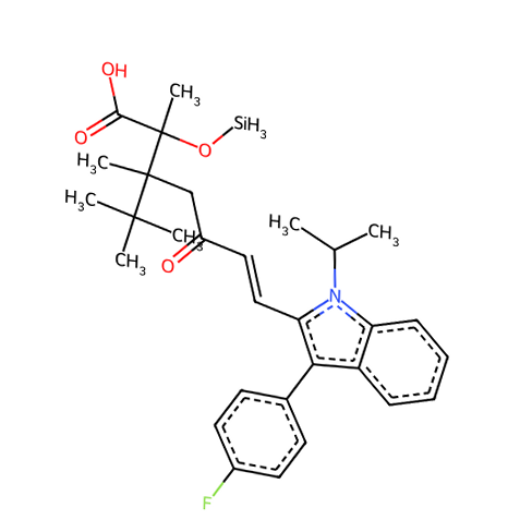 CC(C)n1c(C=CC(=O)CC(C)(C(C)(C)C)C(C)(O[SiH3])C(=O)O)c(-c2ccc(F)cc2)c2ccccc21